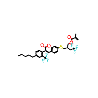 C=C(C)C(=O)OCC(CSc1ccc2cc(-c3ccc(CCCCC)cc3C(F)(F)F)c(=O)oc2c1)CC(F)(F)F